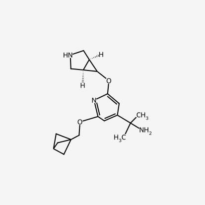 CC(C)(N)c1cc(OCC23CC(C2)C3)nc(OC2[C@H]3CNC[C@@H]23)c1